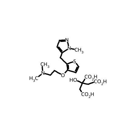 CN(C)CCOc1ccsc1Cc1ccnn1C.O=C(O)CC(O)(CC(=O)O)C(=O)O